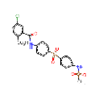 CS(=O)(=O)Nc1ccc(S(=O)(=O)c2ccc(NC(=O)c3cc(Cl)ccc3C(=O)O)cc2)cc1